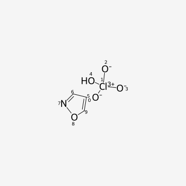 [O-][Cl+3]([O-])([O-])O.c1cnoc1